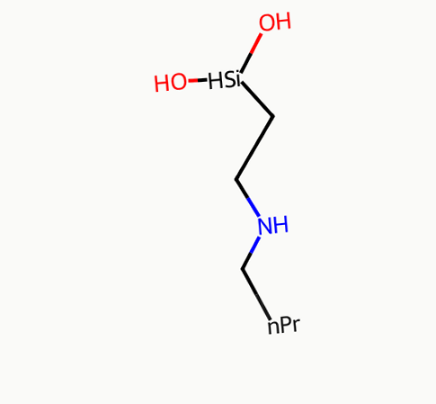 CCCCNCC[SiH](O)O